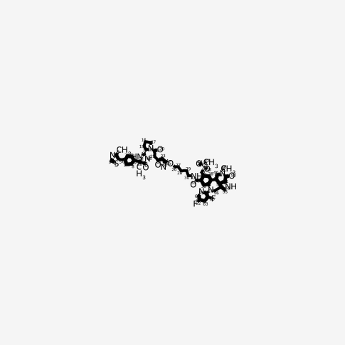 Cc1ncsc1-c1ccc([C@]2(C)NC([C@@H]3CCCN3C(=O)Cc3cc(OCCCCCNC(=O)c4cc5c(cc4CS(C)(=O)=O)-c4cn(C)c(=O)c6[nH]cc(c46)CN5c4ncc(F)cc4F)no3)=NC2=O)cc1